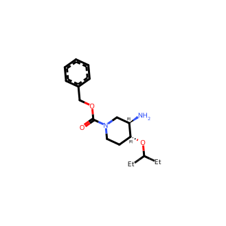 CCC(CC)O[C@@H]1CCN(C(=O)OCc2ccccc2)C[C@H]1N